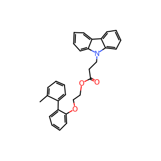 Cc1ccccc1-c1ccccc1OCCOC(=O)CCn1c2ccccc2c2ccccc21